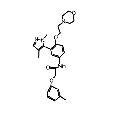 Cc1cccc(OCC(=O)Nc2ccc(OCCN3CCOCC3)c(-c3c(C)cnn3C)c2)c1